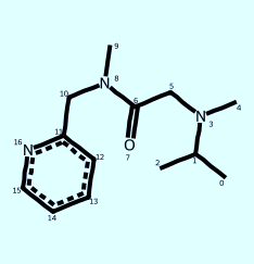 CC(C)N(C)CC(=O)N(C)Cc1ccccn1